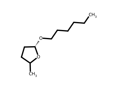 CCCCCCO[C@H]1CCC(C)O1